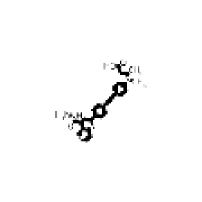 CC(CC(=O)O)N(C)c1ccc(C#Cc2ccc(-c3cc(C(=O)NN)c4cnccc4n3)cc2)cc1